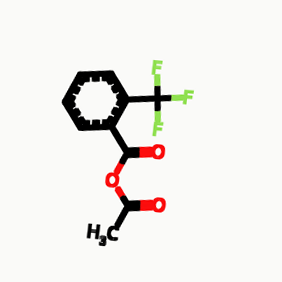 CC(=O)OC(=O)c1ccccc1C(F)(F)F